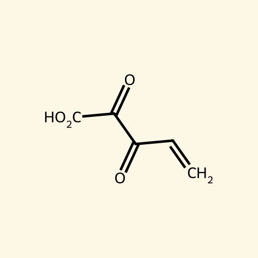 C=CC(=O)C(=O)C(=O)O